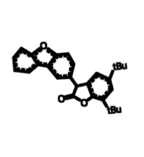 CC(C)(C)c1cc2c(c(C(C)(C)C)c1)OC(=O)C2c1ccc2oc3ccccc3c2c1